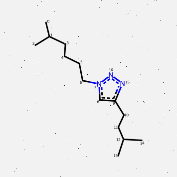 CC(C)CCCCn1cc(CCC(C)C)nn1